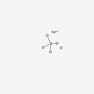 [Cl-].[Fe+5].[O-][Si]([O-])([O-])[O-]